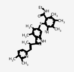 [2H]c1c(C)c(C)c(C)c(C(=O)NCC)c1Sc1cc2[nH]nc(/C(C)=C/c3ccc(C)c(C)n3)c2c(C)c1C